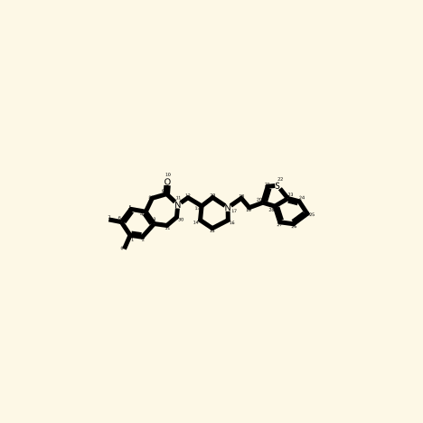 Cc1cc2c(cc1C)CC(=O)N(CC1CCCN(CCc3csc4ccccc34)C1)CC2